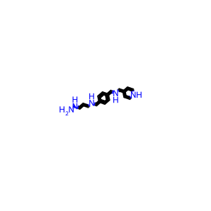 NNCCCNCc1ccc(CNCC2CCNCC2)cc1